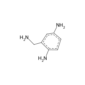 NCc1cc(N)ccc1N